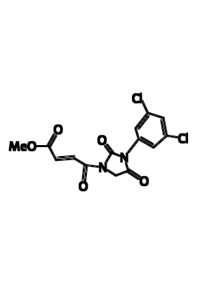 COC(=O)C=CC(=O)N1CC(=O)N(c2cc(Cl)cc(Cl)c2)C1=O